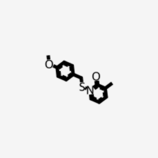 COc1ccc(CSn2cccc(C)c2=O)cc1